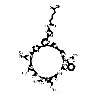 CNC(=O)C[C@@H]1NC(=O)c2csc(n2)-c2ccc(-c3nc(NC(=O)CCCCC(=O)O)cs3)nc2-c2csc(n2)-c2csc(n2)[C@H]([C@@H](OC(N)=O)c2ccccc2)NC(=O)CNC(=O)c2nc(sc2COC)[C@H](C(C)C)NC(=O)c2nc1sc2C